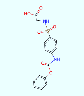 O=C(O)CNS(=O)(=O)c1ccc(NC(=O)Oc2ccccc2)cc1